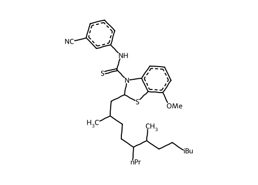 CCCC(CCC(C)CC1Sc2c(OC)cccc2N1C(=S)Nc1cccc(C#N)c1)C(C)CCC(C)CC